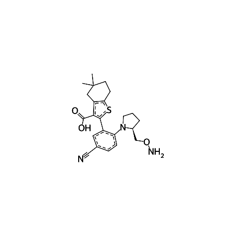 CC1(C)CCc2sc(-c3cc(C#N)ccc3N3CCC[C@H]3CON)c(C(=O)O)c2C1